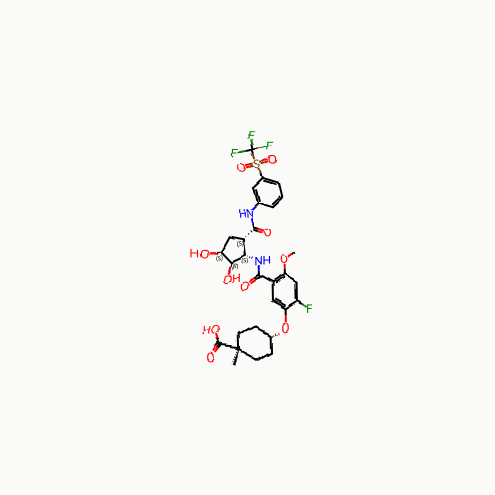 COc1cc(F)c(O[C@H]2CC[C@@](C)(C(=O)O)CC2)cc1C(=O)N[C@@H]1[C@@H](O)[C@@H](O)C[C@@H]1C(=O)Nc1cccc(S(=O)(=O)C(F)(F)F)c1